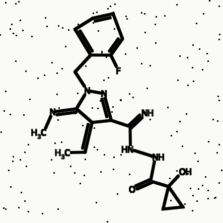 C/C=C1/C(C(=N)NNC(=O)C2(O)CC2)=NN(Cc2ccccc2F)/C1=N/C